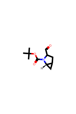 CC(C)(C)OC(=O)N1C(C=O)CC2C[C@@H]21